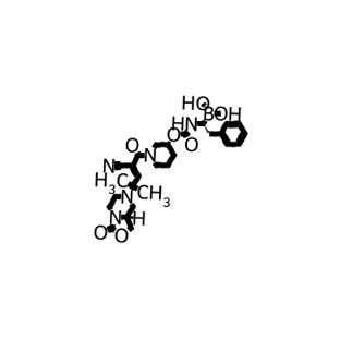 CC(C)(/C=C(\C#N)C(=O)N1CCC[C@H](OC(=O)N[C@@H](Cc2ccccc2)B(O)O)C1)N1CCN2C(=O)OC[C@H]2C1